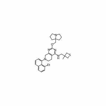 CCc1cccc2cccc(N3CCc4c(nc(OCC56CCCN5CCC6)nc4NCC4(C)CSC4)C3)c12